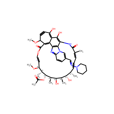 COC1C#CC(O)=c2c(O)c3c4c(nc5ccc(/C=N/N6CCCCC6)cn54)c2=C1C(=O)O/C=C/[C@H](OC)[C@@H](C)[C@@H](OC(C)=O)[C@H](C)[C@H](O)[C@H](C)[C@@H](O)[C@@H](C)/C=C/C=C(/C)C(=O)N3